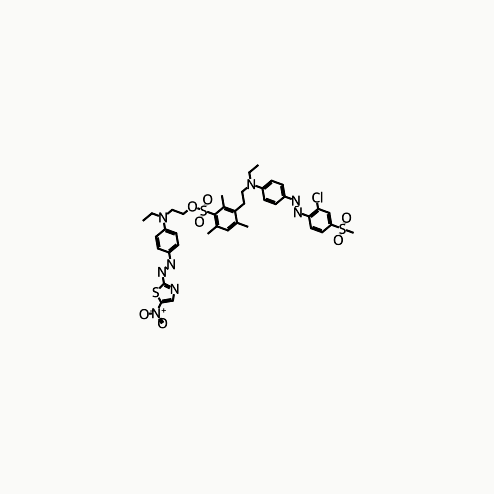 CCN(CCOS(=O)(=O)c1c(C)cc(C)c(CCN(CC)c2ccc(N=Nc3ccc(S(C)(=O)=O)cc3Cl)cc2)c1C)c1ccc(N=Nc2ncc([N+](=O)[O-])s2)cc1